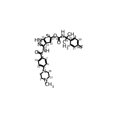 CN1CCN(c2ccc(C(=O)Nc3n[nH]c4sc(OC(=O)NC(C)(C)c5ccc(F)cc5)cc34)cc2)CC1